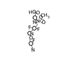 COC1COCC1n1c(Cc2cc(F)c(-c3cccc(OCc4ccc(C#N)cc4F)n3)cc2F)nc2ccc(C(=O)O)cc21